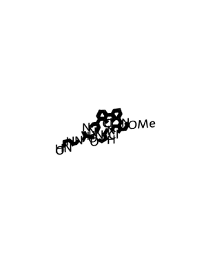 COc1cc(Cl)c(CNCC2CCC(=O)N2)c(-c2cccc(-c3cccc(-c4ccn5c(=O)c(CNCC6CCC(=O)N6)cnc5c4)c3Cl)c2Cl)n1